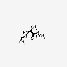 CCONC(C)C(=O)NC